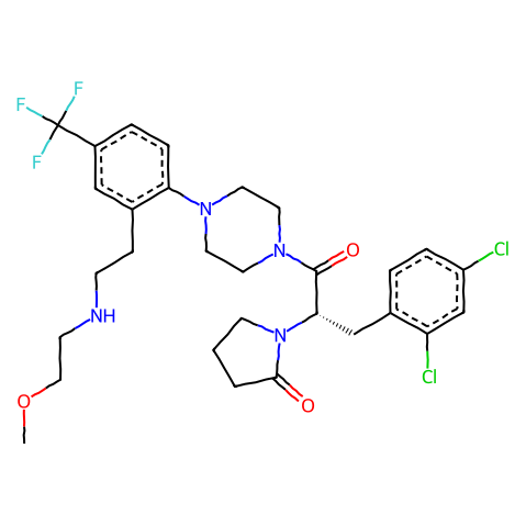 COCCNCCc1cc(C(F)(F)F)ccc1N1CCN(C(=O)[C@H](Cc2ccc(Cl)cc2Cl)N2CCCC2=O)CC1